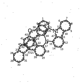 c1ccc(-n2c3ccccc3c3cccc(N(c4cccc5c4ccc4sc6ccccc6c45)c4cccc5oc6ccccc6c45)c32)cc1